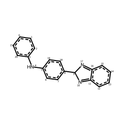 c1ccc(Nc2ccc(C3N=c4ccccc4=N3)cc2)cc1